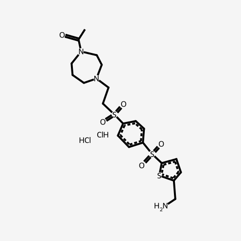 CC(=O)N1CCCN(CCS(=O)(=O)c2ccc(S(=O)(=O)c3ccc(CN)s3)cc2)CC1.Cl.Cl